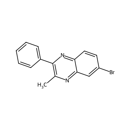 Cc1nc2cc(Br)ccc2nc1-c1ccccc1